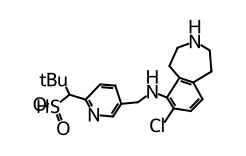 CC(C)(C)C(c1ccc(CNc2c(Cl)ccc3c2CCNCC3)cn1)[SH](=O)=O